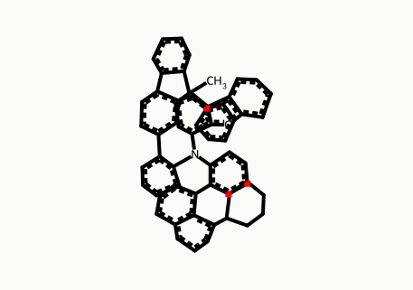 CC1(c2ccccc2)c2ccccc2-c2ccc(-c3ccccc3N(c3ccccc3-c3cccc4cccc(C5CCCCC5)c34)c3cccc4c3oc3ccccc34)cc21